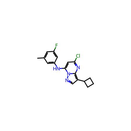 Cc1cc(F)cc(Nc2cc(Cl)nc3c(C4CCC4)cnn23)c1